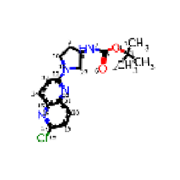 CC(C)(C)OC(=O)NC1CCN(c2ccc3nc(Cl)ccc3n2)C1